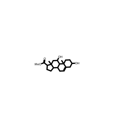 COC(=O)C1CCC2C3CC=C4CC(O)CCC4(C)C3C(O)CC12C